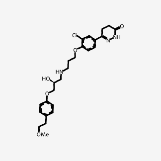 COCCc1ccc(OC[C@@H](O)CNCCCOc2ccc(C3=NNC(=O)CC3)cc2Cl)cc1